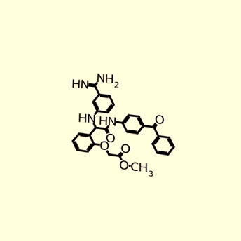 COC(=O)COc1ccccc1C(Nc1cccc(C(=N)N)c1)C(=O)Nc1ccc(C(=O)c2ccccc2)cc1